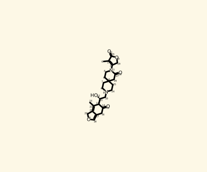 CC1=C(N2CCC3(CCN(C[C@H](O)C4C(=O)CC5=COCC5=C4C)CC3)CC2=O)COC1=O